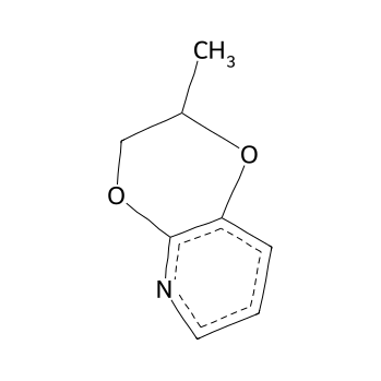 CC1COc2ncccc2O1